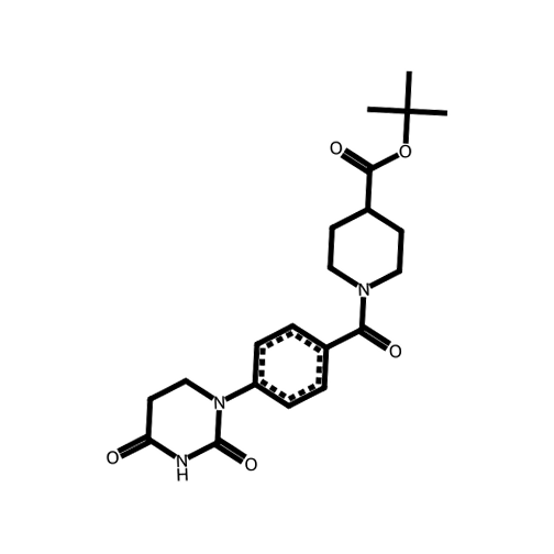 CC(C)(C)OC(=O)C1CCN(C(=O)c2ccc(N3CCC(=O)NC3=O)cc2)CC1